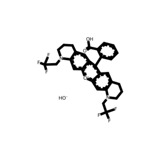 O=C(O)c1ccccc1-c1c2cc3c(cc2[o+]c2cc4c(cc12)CCCN4CC(F)(F)F)N(CC(F)(F)F)CCC3.[OH-]